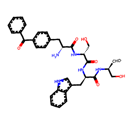 N[C@H](Cc1ccc(C(=O)c2ccccc2)cc1)C(=O)N[C@H](CO)C(=O)N[C@H](Cc1c[nH]c2ccccc12)C(=O)N[C@@H]([C]=O)CO